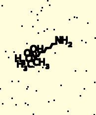 CC(C)(C)N(CCCCCCCN)C(=O)O